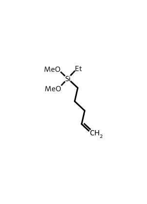 C=CCCC[Si](CC)(OC)OC